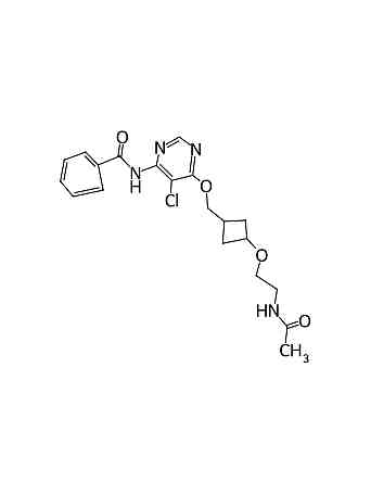 CC(=O)NCCOC1CC(COc2ncnc(NC(=O)c3ccccc3)c2Cl)C1